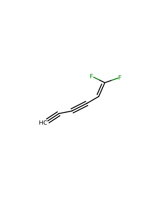 C#CC#CC=C(F)F